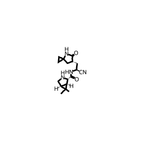 CC1(C)[C@@H]2[C@@H](C(=O)N[C@H](C#N)C[C@@H]3CC4(CC4)NC3=O)NC[C@@H]21